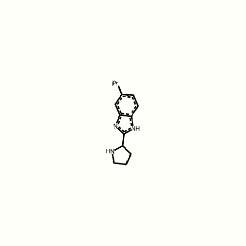 CC(C)c1ccc2[nH]c(C3CCCN3)nc2c1